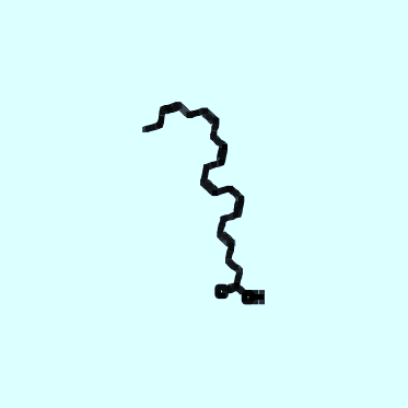 CC/C=C\C/C=C\C/C=C\C/C=C\C/C=C\C/C=C/CCC(=O)O